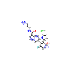 Cl.NCCCNC(=O)c1cnn2ccc(N3CCCC3c3cc(F)c[nH]c3=O)nc12